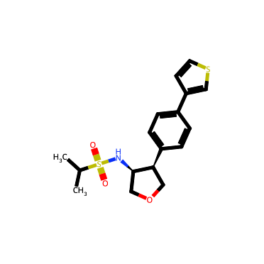 CC(C)S(=O)(=O)N[C@@H]1COC[C@@H]1c1ccc(-c2ccsc2)cc1